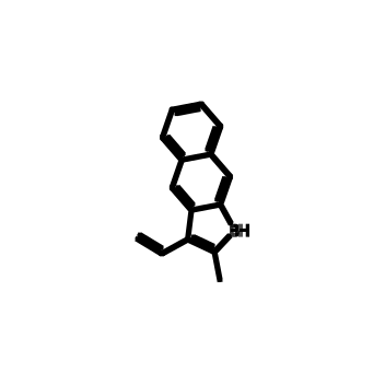 C=CC1=C(C)Bc2cc3ccccc3cc21